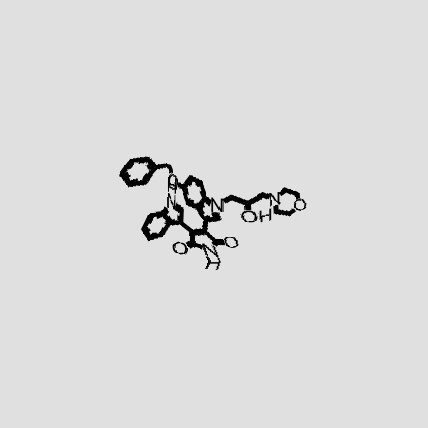 O=C1NC(=O)C(c2cn(CC(O)CN3CCOCC3)c3ccc(OCc4ccccc4)cc23)=C1c1c[nH]c2ccccc12